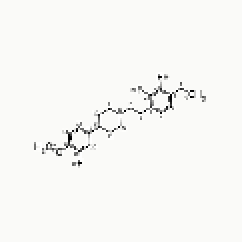 CCc1ccc(CCC2CCC(c3ccc(OC)c(F)c3)CC2)c(F)c1F